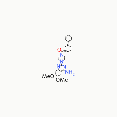 COc1cc2nc(N3CCN(C(=O)[C@@H]4CCC[C@@H](c5ccccc5)C4)CC3)nc(N)c2cc1OC